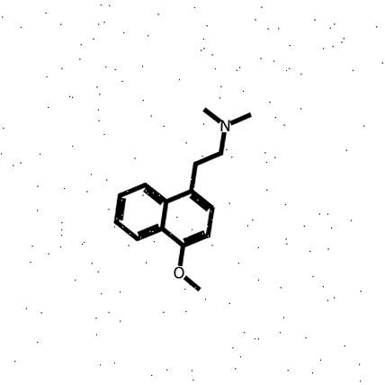 COc1ccc(CCN(C)C)c2ccccc12